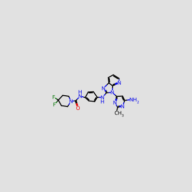 Cc1nc(N)cc(-n2c(Nc3ccc(NC(=O)N4CCC(F)(F)CC4)cc3)nc3cccnc32)n1